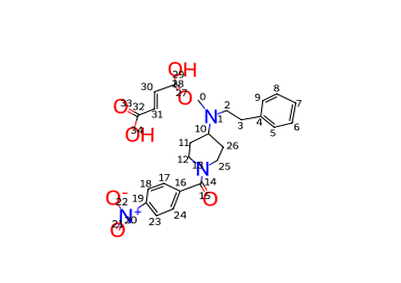 CN(CCc1ccccc1)C1CCN(C(=O)c2ccc([N+](=O)[O-])cc2)CC1.O=C(O)C=CC(=O)O